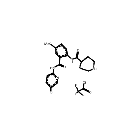 CSc1ccc(NC(=O)C2CCNCC2)c(C(=O)Nc2ccc(Cl)cn2)c1.O=C(O)C(F)(F)F